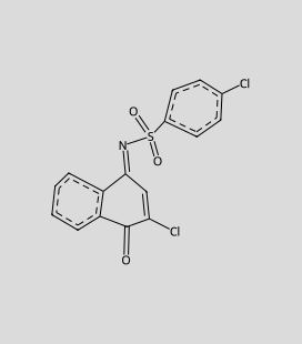 O=C1C(Cl)=CC(=NS(=O)(=O)c2ccc(Cl)cc2)c2ccccc21